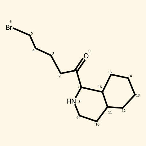 O=C(CCCCBr)C1NCCC2CCCCC21